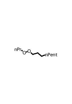 CCCCCCCCOOCCC